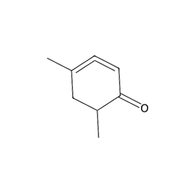 CC1=C=CC(=O)C(C)C1